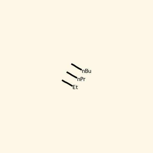 CCC.CCCC.CCCCC